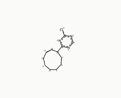 Clc1ncnc(C2CCCCCCCC2)n1